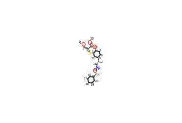 COC=C(Sc1cccc(CC=NOCc2ccccc2)c1)C(=O)OC